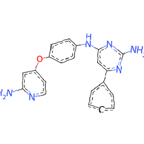 Nc1cc(Oc2ccc(Nc3cc(-c4ccccc4)nc(N)n3)cc2)ccn1